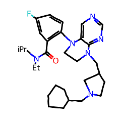 CCN(C(=O)c1cc(F)ccc1N1CCN(CC2CCN(CC3CCCCC3)C2)c2ncncc21)C(C)C